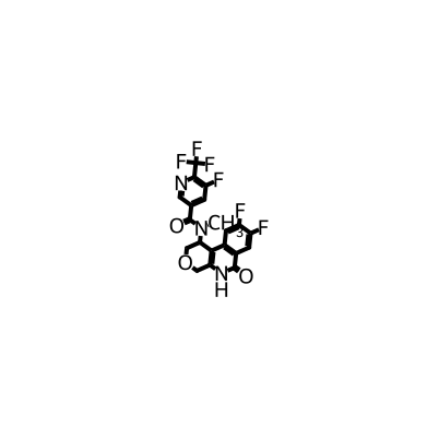 CN(C(=O)c1cnc(C(F)(F)F)c(F)c1)C1COCc2[nH]c(=O)c3cc(F)c(F)cc3c21